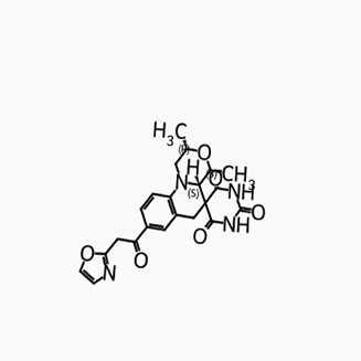 C[C@@H]1CN2c3ccc(C(=O)Cc4ncco4)cc3CC3(C(=O)NC(=O)NC3=O)[C@H]2[C@H](C)O1